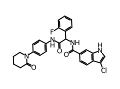 O=C(NC(C(=O)Nc1ccc(N2CCCCC2=O)cc1)c1ccccc1F)c1ccc2c(Cl)c[nH]c2c1